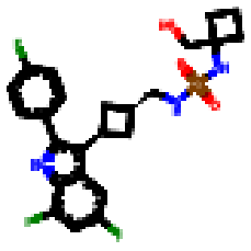 O=S(=O)(NC[C@H]1C[C@H](c2c(-c3ccc(F)cc3)[nH]c3c(F)cc(F)cc32)C1)NC1(CO)CCC1